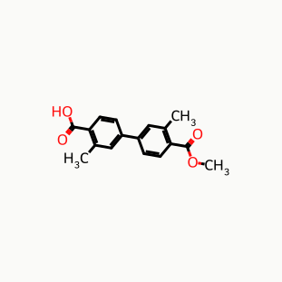 COC(=O)c1ccc(-c2ccc(C(=O)O)c(C)c2)cc1C